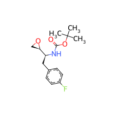 CC(C)(C)OC(=O)N[C@@H](Cc1ccc(F)cc1)[C@H]1CO1